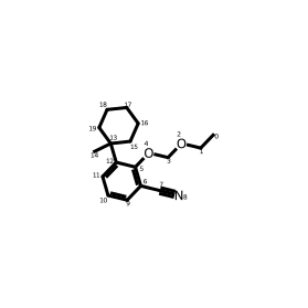 CCOCOc1c(C#N)cccc1C1(C)CCCCC1